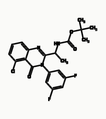 CC(NC(=O)OC(C)(C)C)c1nc2cccc(Cl)c2c(=O)n1-c1cc(F)cc(F)c1